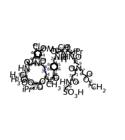 C=CCOC(=O)CCN(CCC(=O)NC(C(=O)NC(C)C(=O)NCc1ccc([C@H]2O[C@@H]2C(C)[C@@H]2C/C=C/C(=O)N[C@H](Cc3ccc(OC)c(Cl)c3)C(=O)NCC(C)(C)C(=O)O[C@@H](CC(C)C)C(=O)O2)cc1)C(C)C)C(=O)CCC(=O)NCCS(=O)(=O)O